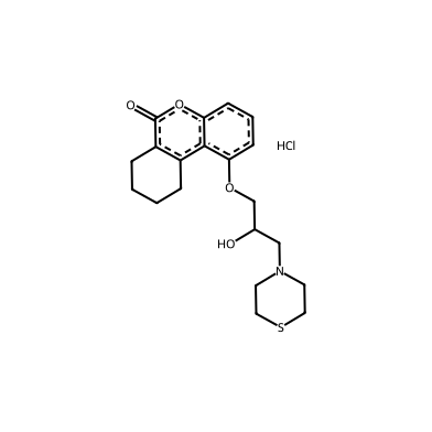 Cl.O=c1oc2cccc(OCC(O)CN3CCSCC3)c2c2c1CCCC2